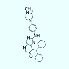 CN1CCN(c2ccc(Nc3ncc4c(n3)C(C(C3CCCCC3)C3CCCCC3)C(=O)C=N4)cc2)CC1